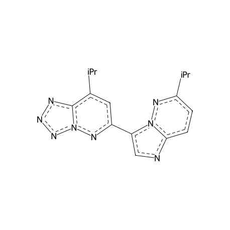 CC(C)c1ccc2ncc(-c3cc(C(C)C)c4nnnn4n3)n2n1